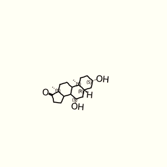 C[C@]12CCC3C(C1CCC2=O)[C@@H](O)C[C@H]1C[C@@H](O)CC[C@]31C